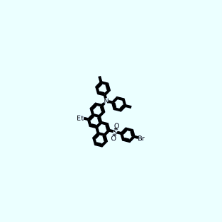 CCc1cc2c3ccccc3c(S(=O)(=O)c3ccc(Br)cc3)cc2c2cc(N(C3=CC=C(C)CC3)c3ccc(C)cc3)ccc12